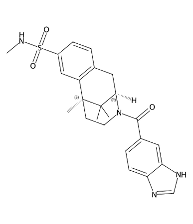 CNS(=O)(=O)c1ccc2c(c1)[C@]1(C)CCN(C(=O)c3ccc4nc[nH]c4c3)[C@H](C2)C1(C)C